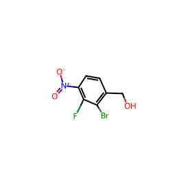 O=[N+]([O-])c1ccc(CO)c(Br)c1F